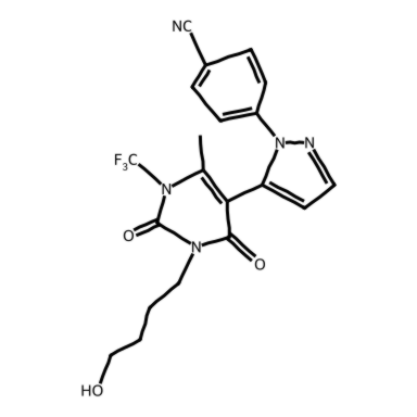 Cc1c(-c2ccnn2-c2ccc(C#N)cc2)c(=O)n(CCCCO)c(=O)n1C(F)(F)F